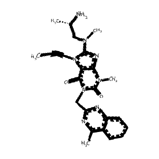 CC#Cn1c(N(C)C[C@H](C)N)nc2c1c(=O)n(Cc1nc(C)c3ccccc3n1)c(=O)n2C